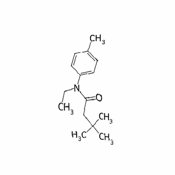 CCN(C(=O)CC(C)(C)C)c1ccc(C)cc1